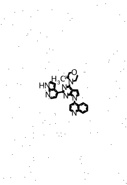 C[C@@H]1COCCN1c1nc(-c2ccnc3[nH]ccc23)nc2c1ccn2-c1ccnc2ccccc12